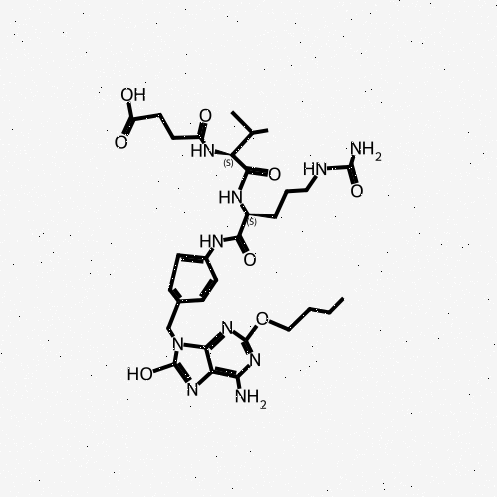 CCCCOc1nc(N)c2nc(O)n(Cc3ccc(NC(=O)[C@H](CCCNC(N)=O)NC(=O)[C@@H](NC(=O)CCC(=O)O)C(C)C)cc3)c2n1